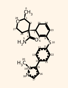 C[C@H]1C[C@@](C(N)=O)(C2C=C(Sc3ccc(-c4ccnn4C)cc3)C=CC2)CCO1